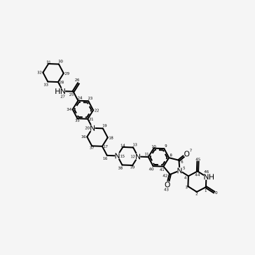 C=C1CCC(N2C(=O)c3ccc(N4CCN(CC5CCN(c6ccc(C(=C)NC7CCCCC7)cc6)CC5)CC4)cc3C2=O)C(=C)N1